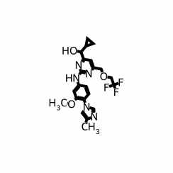 COc1cc(Nc2nc(COCC(F)(F)F)cc(C(O)C3CC3)n2)ccc1-n1cnc(C)c1